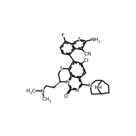 CN(C)CC[C@H]1CSc2c(-c3ccc(F)c4sc(N)c(C#N)c34)c(Cl)cc3c(N4CC5CCC(C4)N5)nc(=O)n1c23